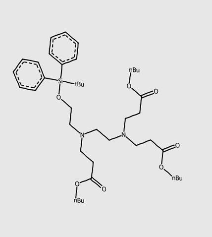 CCCCOC(=O)CCN(CCO[Si](c1ccccc1)(c1ccccc1)C(C)(C)C)CCN(CCC(=O)OCCCC)CCC(=O)OCCCC